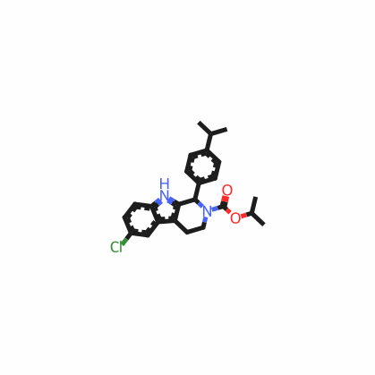 CC(C)OC(=O)N1CCc2c([nH]c3ccc(Cl)cc23)C1c1ccc(C(C)C)cc1